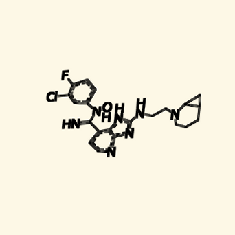 N=C(c1ccnc2nc(NCCN3CCCC4CC43)[nH]c12)N(O)c1ccc(F)c(Cl)c1